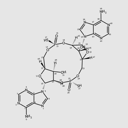 Nc1ncnc2c1ncn2[C@@H]1O[C@@H]2CO[P@@](=O)(S)O[C@@H]3[C@H](O)[C@@H](CO[P@](=O)(S)O[C@@H]1[C@@H]2O)O[C@H]3n1cnc2c(N)ncnc21